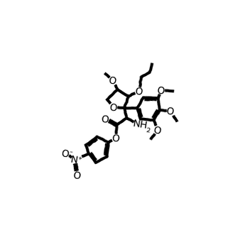 CCCOC1C(OC)COC1(c1cc(OC)c(OC)c(OC)c1)C(N)C(=O)Oc1ccc([N+](=O)[O-])cc1